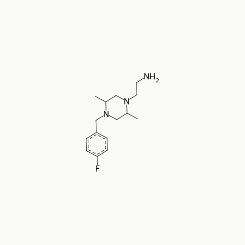 CC1CN(Cc2ccc(F)cc2)C(C)CN1CCN